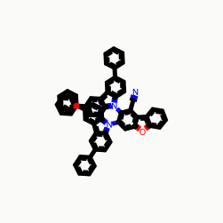 N#Cc1c(-n2c3ccc(-c4ccccc4)cc3c3cc(-c4ccccc4)ccc32)c(-n2c3ccc(-c4ccccc4)cc3c3cc(-c4ccccc4)ccc32)cc2oc3ccccc3c12